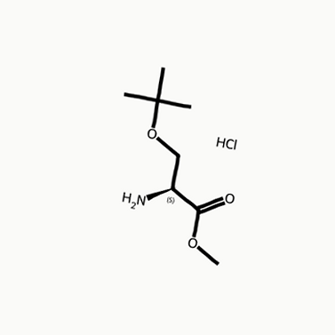 COC(=O)[C@@H](N)COC(C)(C)C.Cl